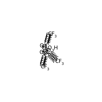 O=C(CC(C(=O)OCCC(F)(F)C(F)(F)C(F)(F)C(F)(F)C(F)(F)C(F)(F)F)C(C(=O)OCCC(F)(F)C(F)(F)C(F)(F)C(F)(F)C(F)(F)C(F)(F)F)S(=O)(=O)O)OCCC(F)(F)C(F)(F)C(F)(F)C(F)(F)C(F)(F)C(F)(F)F